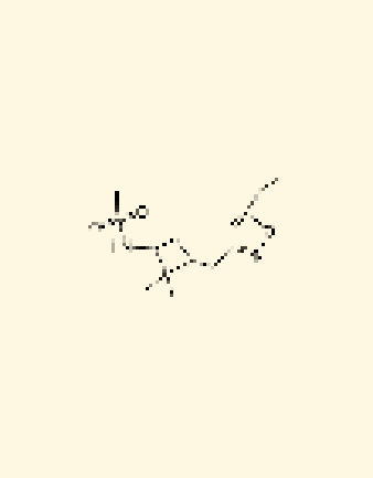 CCc1cc(CC2CC(NS(C)(=O)=O)C2(C)C)no1